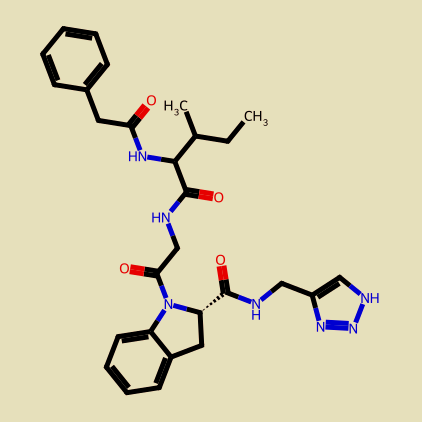 CCC(C)C(NC(=O)Cc1ccccc1)C(=O)NCC(=O)N1c2ccccc2C[C@H]1C(=O)NCc1c[nH]nn1